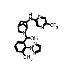 Cc1cccc(C(O)N2CC3CC(Nc4cnc(C(F)(F)F)cn4)C2C3)c1-n1nccn1